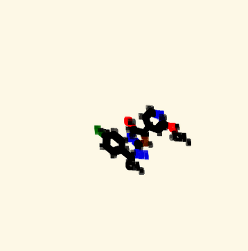 COC1=CC([C@H]2SC(N[C@@H](C)c3ccc(F)cc3)=NC2=O)CC=N1